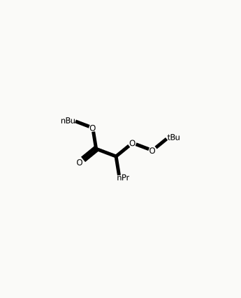 CCCCOC(=O)C(CCC)OOC(C)(C)C